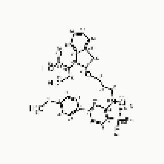 CCc1ccc(-c2ccc(C(F)(F)F)c(N(C)CCCO[C@H]3Cc4ccccc4[C@@H]3C(CC)C(=O)O)n2)cc1